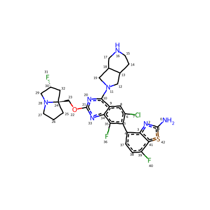 Nc1nc2c(-c3c(Cl)cc4c(N5CC6CCNCC6C5)nc(OC[C@@]56CCCN5C[C@H](F)C6)nc4c3F)ccc(F)c2s1